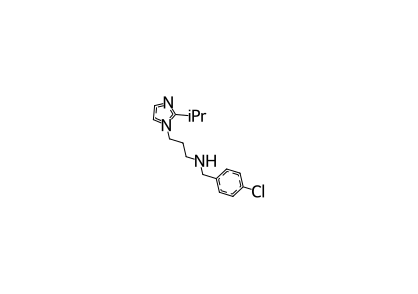 CC(C)c1nccn1CCCNCc1ccc(Cl)cc1